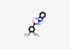 O=C(Nc1nc2ccccc2[nH]1)c1ccc([N+](=O)[O-])c([N+](=O)[O-])c1